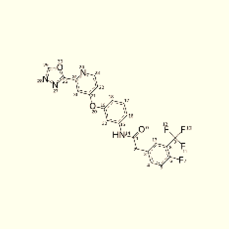 O=C(Cc1ccc(F)c(C(F)(F)F)c1)Nc1cccc(Oc2ccnc(-c3nnco3)c2)c1